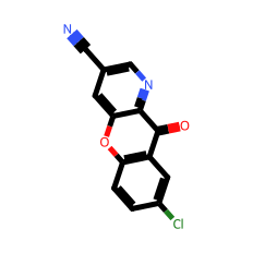 N#Cc1cnc2c(=O)c3cc(Cl)ccc3oc2c1